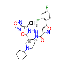 C[C@@H](NC(=O)[C@H]1CN(C2CCCCC2)CC[C@@H]1NC(=O)c1cc(-c2ccc(F)cc2F)on1)c1ncon1